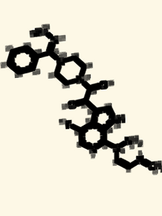 C=N/C=C\N(N)c1ncc(F)c2c(C(=O)C(=O)N3CCN(/C(=N/CCCC)c4ccccc4)CC3)c[nH]c12